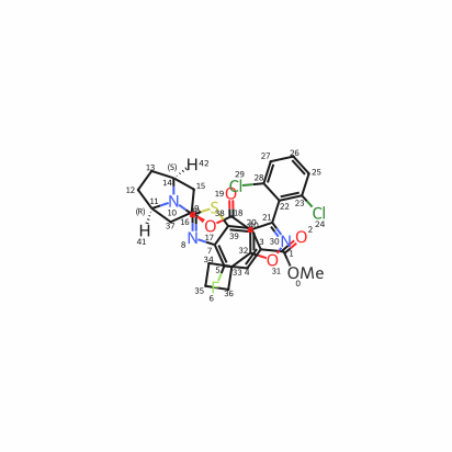 COC(=O)c1cc(F)c2nc(N3[C@@H]4CC[C@H]3C[C@@H](OC(=O)c3c(-c5c(Cl)cccc5Cl)noc3C3CCC3)C4)sc2c1